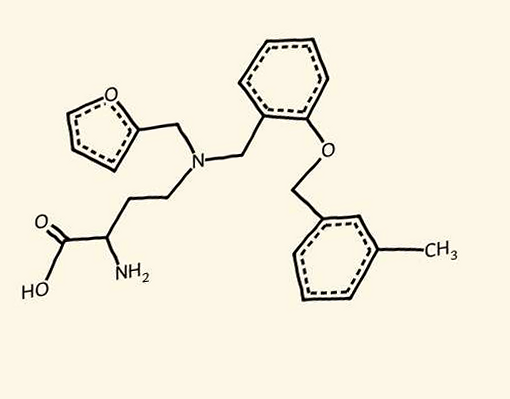 Cc1cccc(COc2ccccc2CN(CCC(N)C(=O)O)Cc2ccco2)c1